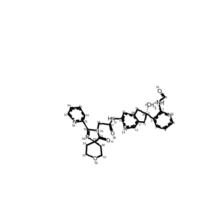 C[C@]1(c2cccnc2NC=O)Cc2cnc(NC(=O)CN3C(=O)C4(CCOCC4)N=C3c3ccccn3)cc2C1